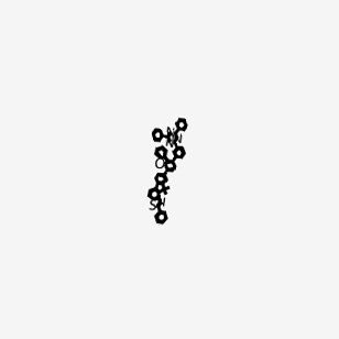 CC1(C)c2cc(-c3ccc(-c4cccc(-c5nc(-c6ccccc6)nc(-c6ccccc6)n5)c4)c4c3oc3ccccc34)ccc2-c2ccc3sc(-c4ccccc4)nc3c21